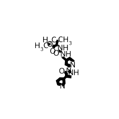 COC(=O)[C@@H](NC(=O)NCc1ccnc(-n2[nH]cc(-c3cccnc3)c2=O)c1)C(C)C